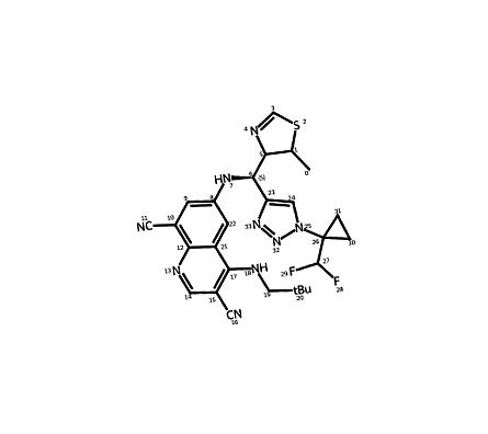 CC1SC=NC1[C@H](Nc1cc(C#N)c2ncc(C#N)c(NCC(C)(C)C)c2c1)c1cn(C2(C(F)F)CC2)nn1